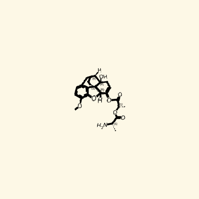 COc1ccc2c3c1O[C@H]1C(OC(=O)[C@H](C)OC(=O)[C@H](C)N)=CC[C@@]4(O)[C@H](CCC[C@]314)C2